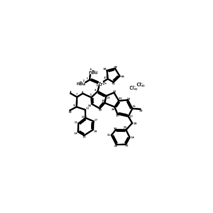 CCCC[C](CCCC)=[Zr+2]([c]1c(CC(C)C(C)Cc2ccccc2)ccc2c1Cc1cc(C)c(Cc3ccccc3)cc1-2)[CH]1C=CC=C1.[Cl-].[Cl-]